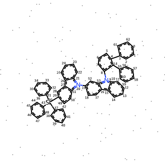 c1ccc(-c2cccc(-n3c4ccccc4c4ccc(-n5c6ccccc6c6cc([Si](c7ccccc7)(c7ccccc7)c7ccccc7)ccc65)cc43)c2-c2ccccc2)cc1